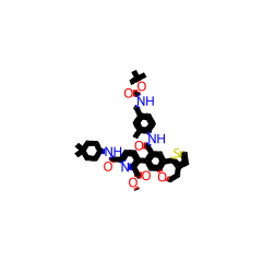 COC(=O)c1nc(C(=O)NC2CCC(C)(C)CC2)ccc1-c1cc2c(cc1C(=O)Nc1ccc(CNC(=O)OC(C)(C)C)cc1C)-c1sccc1CCO2